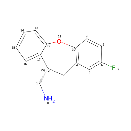 NC[C@H]1Cc2cc(F)ccc2Oc2ccccc21